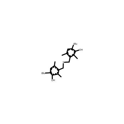 Cc1cc(C(C)(C)C)c(O)c(C)c1CSCc1c(C)cc(C(C)(C)C)c(O)c1C